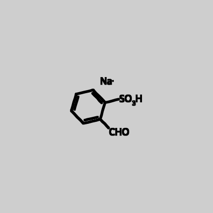 O=Cc1ccccc1S(=O)(=O)O.[Na]